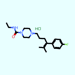 CCNC(=O)N1CCN(CCCC(=C(C)C)c2ccc(F)cc2)CC1.Cl